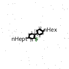 CCCCCCCc1ccc(-c2ccc(CCCCCC)cc2)c(F)c1